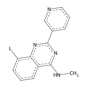 CNc1nc(-c2cccnc2)nc2c(I)cccc12